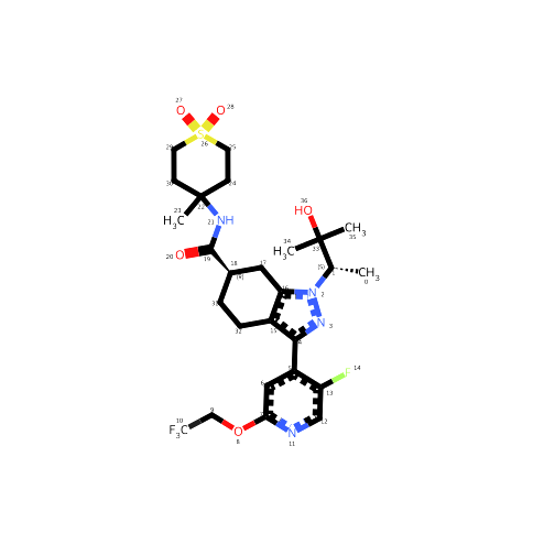 C[C@H](n1nc(-c2cc(OCC(F)(F)F)ncc2F)c2c1C[C@H](C(=O)NC1(C)CCS(=O)(=O)CC1)CC2)C(C)(C)O